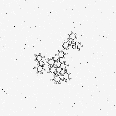 CC1(C)c2ccccc2-c2ccc(-c3ccc(N(c4ccc(-n5c6ccccc6c6ccccc65)cc4)c4cccc5c4-c4ccccc4C5(c4ccccc4)c4ccccc4)cc3)cc21